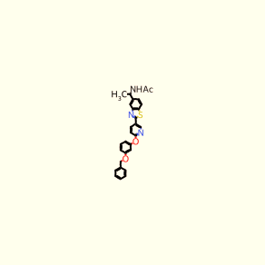 CC(=O)NC(C)c1ccc2sc(-c3ccc(Oc4cccc(OCc5ccccc5)c4)nc3)nc2c1